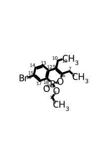 CCOP1(=O)OC(CC)=C(CC)c2ccc(Br)cc21